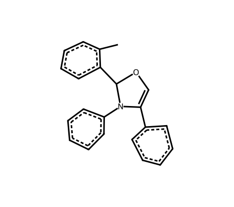 Cc1ccccc1C1OC=C(c2ccccc2)N1c1ccccc1